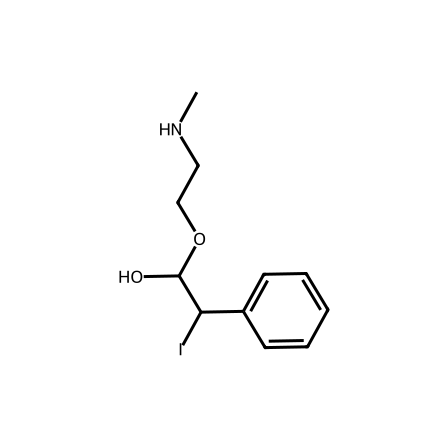 CNCCOC(O)C(I)c1ccccc1